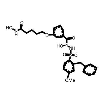 COc1ccc(S(=O)(=O)NN(O)C(=O)c2cccc(OCCCCC(=O)NO)c2)c(Cc2ccccc2)c1